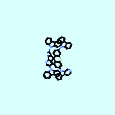 c1ccc2c(c1)c1ccccc1n2-c1ccc2c(c1)Sc1cc(-n3c4ccccc4c4ccncc43)ccc1C21c2cc(-n3c4ccccc4c4ccccc43)cnc2-c2ncc(-n3c4ccccc4c4ccccc43)cc21